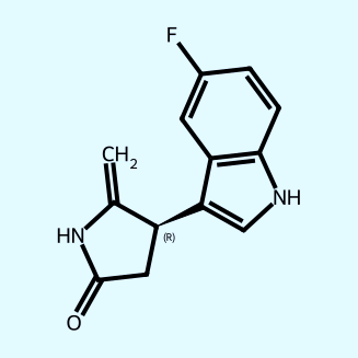 C=C1NC(=O)C[C@@H]1c1c[nH]c2ccc(F)cc12